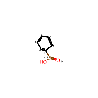 O=S(O)c1cc[c]cc1